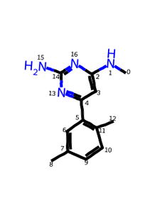 CNc1cc(-c2cc(C)ccc2C)nc(N)n1